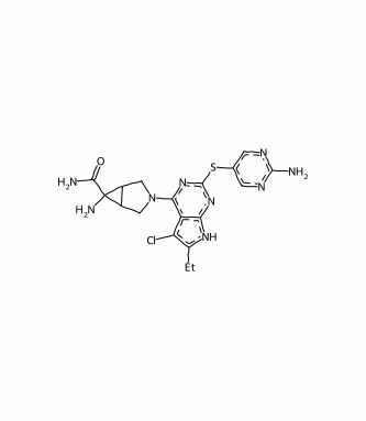 CCc1[nH]c2nc(Sc3cnc(N)nc3)nc(N3CC4C(C3)C4(N)C(N)=O)c2c1Cl